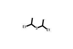 [CH2]C(CC)SC(C)CC